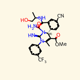 COC(=O)C1=C(C)N(c2cccc(C(F)(F)F)c2)C(=N)N(C(N)=O)[C@@H]1c1ccc(C#N)cc1C(=O)NC(C)CO